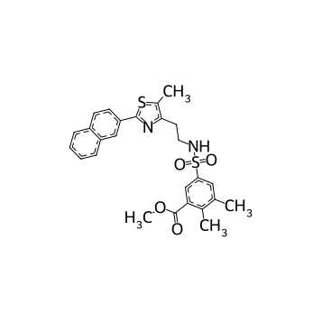 COC(=O)c1cc(S(=O)(=O)NCCc2nc(-c3ccc4ccccc4c3)sc2C)cc(C)c1C